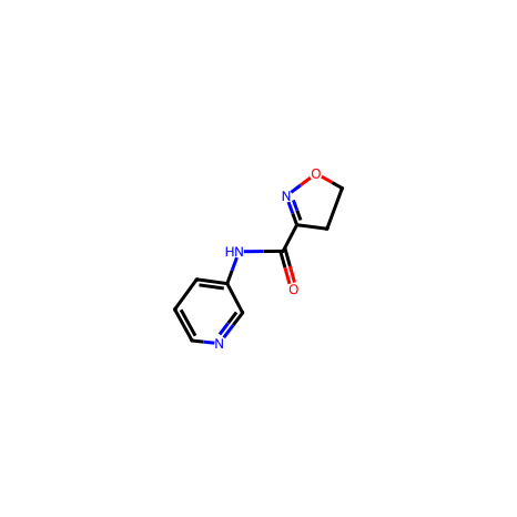 O=C(Nc1cccnc1)C1=NOCC1